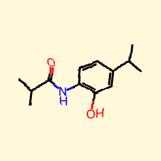 CC(C)C(=O)Nc1ccc(C(C)C)cc1O